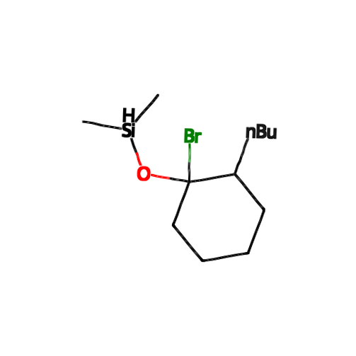 CCCCC1CCCCC1(Br)O[SiH](C)C